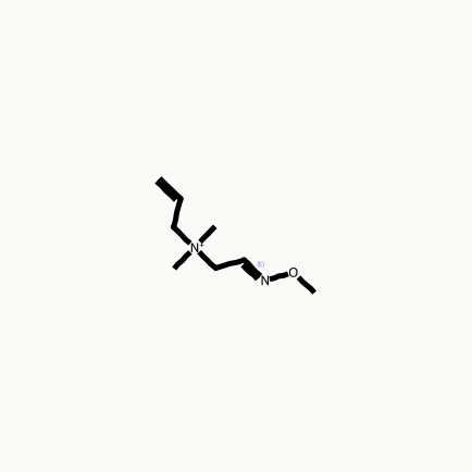 C=CC[N+](C)(C)C/C=N/OC